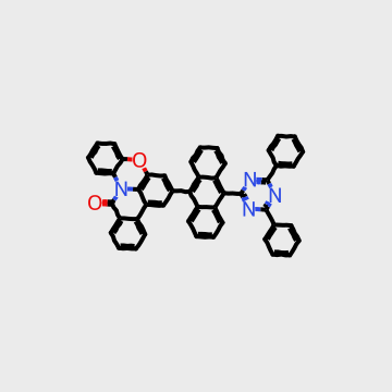 O=c1c2ccccc2c2cc(-c3c4ccccc4c(-c4nc(-c5ccccc5)nc(-c5ccccc5)n4)c4ccccc34)cc3c2n1-c1ccccc1O3